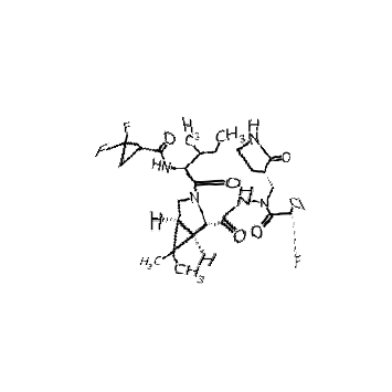 CC[C@H](C)[C@H](NC(=O)[C@H]1CC1(F)F)C(=O)N1C[C@H]2[C@@H]([C@H]1C(=O)NN(C[C@@H]1CCNC1=O)C(=O)[C@@H](F)Cl)C2(C)C